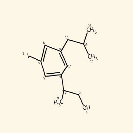 C[C](CO)c1cc(I)cc(CC(C)C)c1